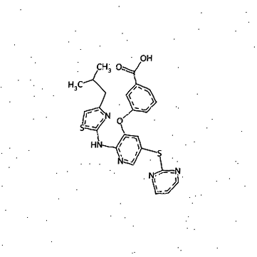 CC(C)Cc1csc(Nc2ncc(Sc3ncccn3)cc2Oc2cccc(C(=O)O)c2)n1